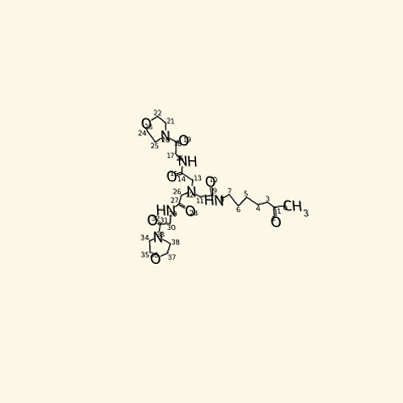 CC(=O)CCCCCNC(=O)CN(CC(=O)NCC(=O)N1CCOCC1)CC(=O)NCC(=O)N1CCOCC1